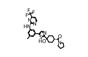 Cc1cc(Nc2nccc(C(F)(F)F)n2)cc(-c2cnc([C@]3(O)CC[C@@H](C(=O)N4CCCC4)CC3)s2)c1